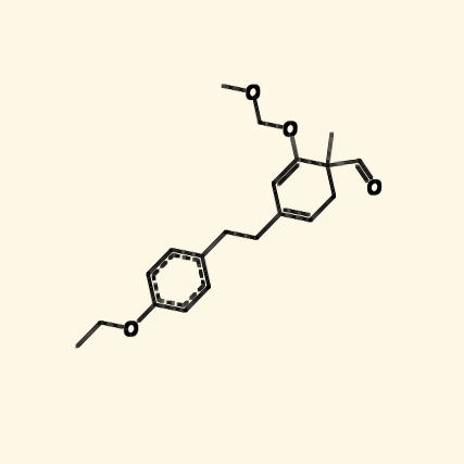 CCOc1ccc(CCC2=CCC(C)(C=O)C(OCOC)=C2)cc1